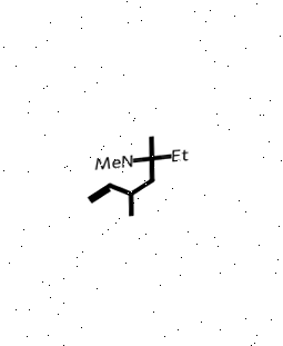 C=CC(C)CC(C)(CC)NC